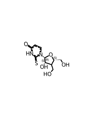 O=c1ccn([C@@H]2O[C@H](CO)C(CO)[C@@H]2O)c(=S)[nH]1